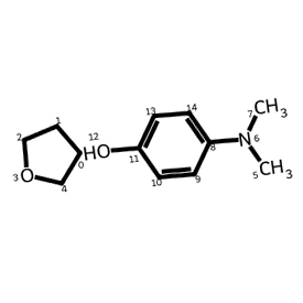 C1CCOC1.CN(C)c1ccc(O)cc1